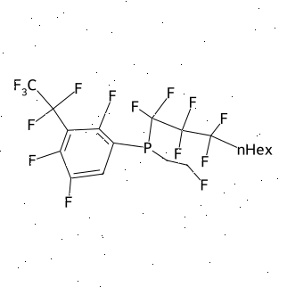 CCCCCCC(F)(F)C(F)(F)C(F)(F)P(CCF)c1cc(F)c(F)c(C(F)(F)C(F)(F)F)c1F